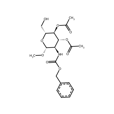 CO[C@@H]1O[C@H](CO)[C@@H](OC(C)=O)[C@H](OC(C)=O)[C@H]1NC(=O)OCc1ccccc1